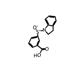 O=C(O)c1cccc([S+]([O-])N2CCc3ccccc32)c1